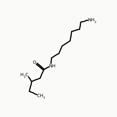 CCC(C)CC(=O)NCCCCCCCN